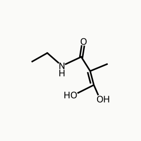 CCNC(=O)C(C)=C(O)O